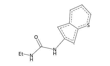 CCNC(=O)Nc1[c]c2scccc-2c1